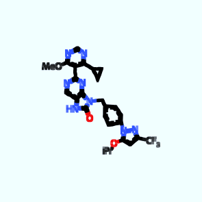 COc1ncnc(C2CC2)c1-c1ncc2[nH]c(=O)n(Cc3ccc(-n4nc(C(F)(F)F)cc4OC(C)C)cc3)c2n1